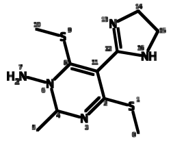 CSC1=NC(C)N(N)C(SC)=C1C1=NCCN1